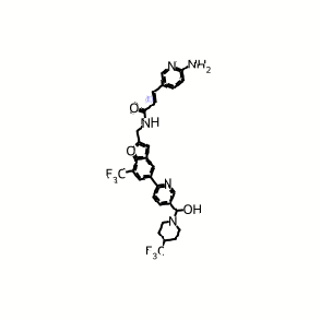 Nc1ccc(/C=C/C(=O)NCc2cc3cc(-c4ccc(C(O)N5CCC(C(F)(F)F)CC5)cn4)cc(C(F)(F)F)c3o2)cn1